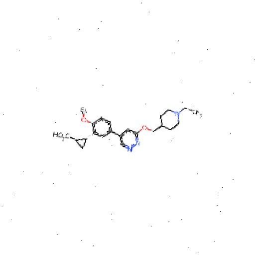 CCOc1ccc(-c2cnnc(OCC3CCN(CC(F)(F)F)CC3)c2)cc1[C@@H]1C[C@H]1C(=O)O